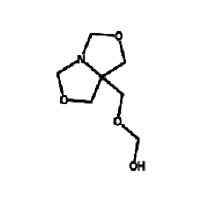 OCOCC12COCN1COC2